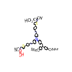 COc1ccc(C(=Cc2ccc(N(c3ccc(/C=C/c4ccc(-c5ccc(/C=C(/C#N)OCO)s5)cc4)cc3)c3ccc(/C=C/c4ccc(-c5ccc(/C=C(/C#N)C(=O)O)s5)cc4)cc3)cc2)c2ccc(OC)cc2)cc1